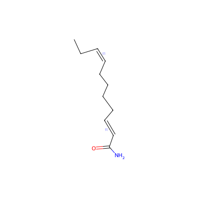 CC/C=C\CCCC/C=C/C(N)=O